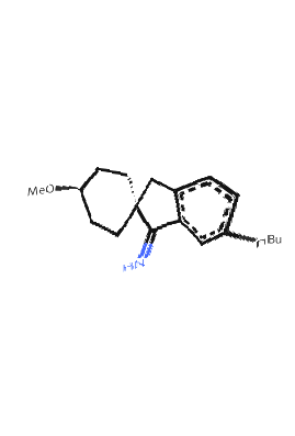 CCCCc1ccc2c(c1)C(=N)[C@]1(CC[C@H](OC)CC1)C2